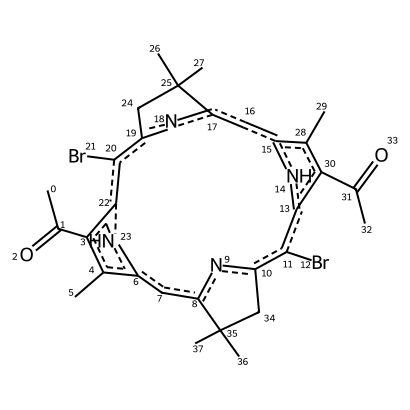 CC(=O)c1c(C)c2cc3nc(c(Br)c4[nH]c(cc5nc(c(Br)c1[nH]2)CC5(C)C)c(C)c4C(C)=O)CC3(C)C